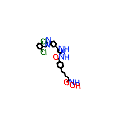 O=C(CC/C=C/c1ccc(C(=O)Nc2cc(-c3ccc4ncn(Cc5c(Cl)cccc5Cl)c4c3)[nH]n2)cc1)NO